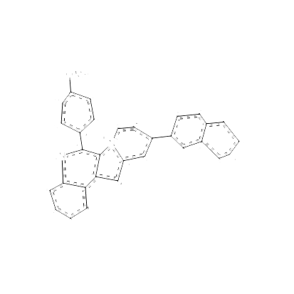 COc1ccc(-c2nc3ccccc3c3cc4cc(-c5ccc6ccccc6c5)ccn4c23)cc1